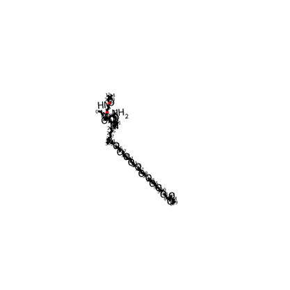 CCCN(CCCNC(=O)CC(C)(C)C)C(=O)C1=Cc2c(cnn2CCCCCN(C)CCOCCOCCOCCOCCOCCOCCOCCOCCOCCOCCC(=O)OC(C)(C)C)N=C(N)C1